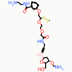 CSSC(COc1cccc(C(=O)NCCN)c1)OCCOCC(=O)NCC#CB[C@H]1C[C@@H](OCN)C(CO)O1